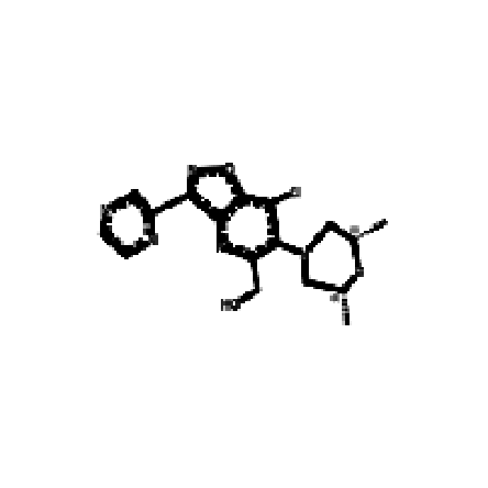 C[C@@H]1CN(c2c(CO)nc3c(-c4cnccn4)noc3c2Cl)C[C@H](C)O1